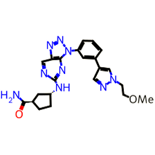 COCCn1cc(-c2cccc(-n3nnc4cnc(N[C@@H]5CC[C@@H](C(N)=O)C5)nc43)c2)cn1